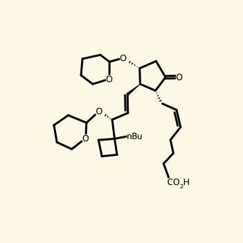 CCCCC1([C@@H](/C=C/[C@H]2[C@H](OC3CCCCO3)CC(=O)[C@@H]2C/C=C\CCCC(=O)O)OC2CCCCO2)CCC1